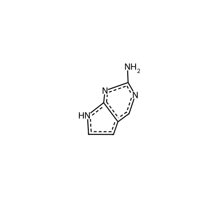 Nc1ncc2cc[nH]c2n1